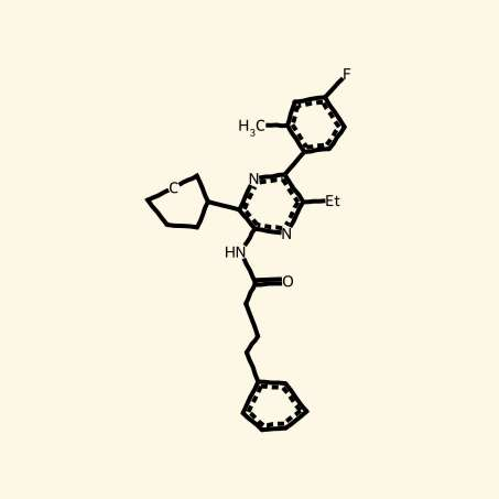 CCc1nc(NC(=O)CCCc2ccccc2)c(C2CCCCC2)nc1-c1ccc(F)cc1C